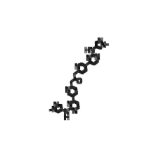 Cn1cc(Nc2nccc(-c3ccc(CC(=O)Cc4ccc(-c5ccnc(Nc6cnn(C)c6)n5)cn4)nc3)n2)cn1